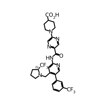 O=C(Nc1cc(CN2CCC[C@H]2C(F)(F)F)c(-c2cccc(C(F)(F)F)c2)cn1)c1cnc(N2CCC(C(=O)O)CC2)cn1